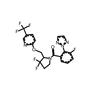 O=C(c1cccc(F)c1-n1nccn1)N1CCC(F)(F)C1COc1ccc(C(F)(F)F)cn1